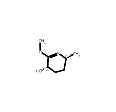 COC1=N[C@@H](C)CC[C@@H]1O